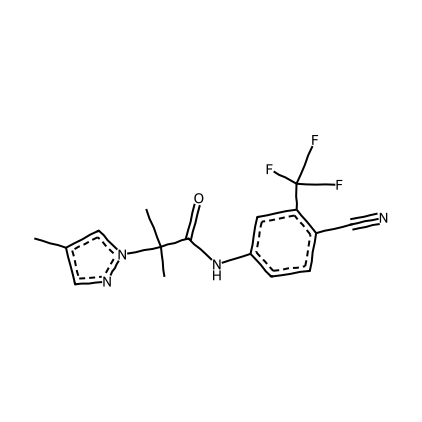 Cc1cnn(C(C)(C)C(=O)Nc2ccc(C#N)c(C(F)(F)F)c2)c1